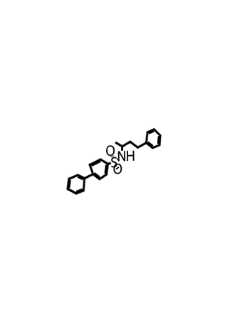 CC(CCc1ccccc1)NS(=O)(=O)c1ccc(-c2ccccc2)cc1